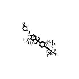 CCC(CC)(c1ccc(C#CC(OCOC)(C(F)(F)F)C(F)(F)F)c(C)c1)c1ccc(OC[C@H]2CCC(=O)O2)c(C)c1